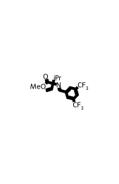 C=CC(/N=C/c1cc(C(F)(F)F)cc(C(F)(F)F)c1)(C(=O)OC)C(C)C